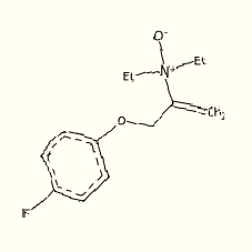 C=C(COc1ccc(F)cc1)[N+]([O-])(CC)CC